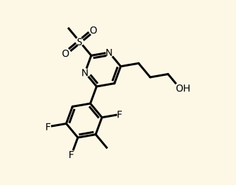 Cc1c(F)c(F)cc(-c2cc(CCCO)nc(S(C)(=O)=O)n2)c1F